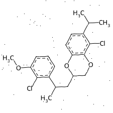 COc1cccc(C(C)CC2COc3c(ccc(C(C)C)c3Cl)O2)c1Cl